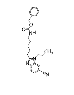 CCCn1c(CCCCCNC(=O)OCc2ccccc2)nc2ccc(C#N)cc21